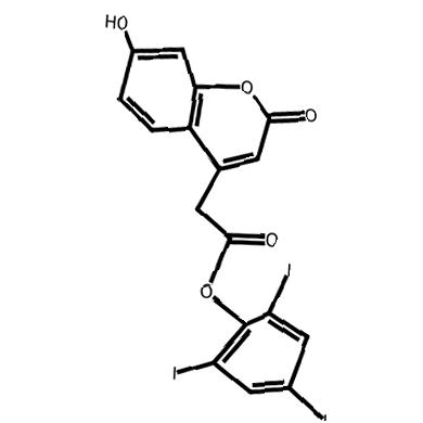 O=C(Cc1cc(=O)oc2cc(O)ccc12)Oc1c(I)cc(I)cc1I